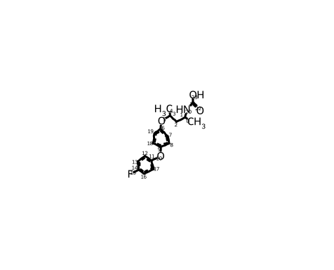 CC(CC(C)Oc1ccc(Oc2ccc(F)cc2)cc1)NC(=O)O